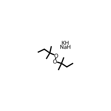 CCC(C)(C)OOC(C)(C)CC.[KH].[NaH]